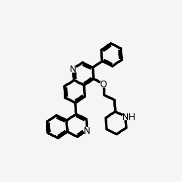 c1ccc(-c2cnc3ccc(-c4cncc5ccccc45)cc3c2OCCC2CCCCN2)cc1